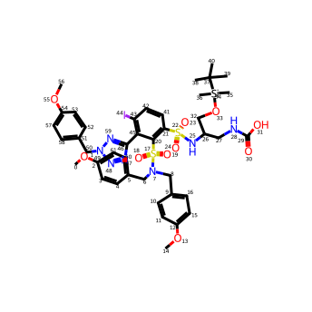 COc1ccc(CN(Cc2ccc(OC)cc2)S(=O)(=O)c2c(S(=O)(=O)NC(CNC(=O)O)CO[Si](C)(C)C(C)(C)C)ccc(I)c2-c2nnn(Cc3ccc(OC)cc3)n2)cc1